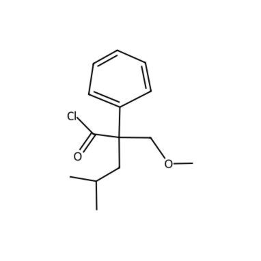 COCC(CC(C)C)(C(=O)Cl)c1ccccc1